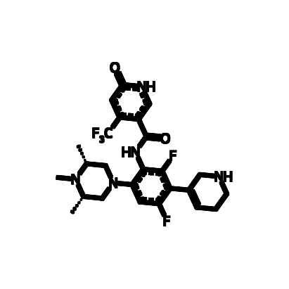 C[C@@H]1CN(c2cc(F)c(C3=CCCNC3)c(F)c2NC(=O)c2c[nH]c(=O)cc2C(F)(F)F)C[C@H](C)N1C